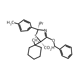 Cc1ccc([C@@]2(C(C)C)N=C(OCc3ccccc3)[C@@](C(=O)O)(C3(C)CCCCC3)S2)cc1